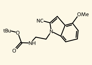 COc1cccc2c1cc(C#N)n2CCNC(=O)OC(C)(C)C